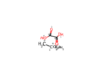 CC(=O)O.O=C(O)C(=O)O.[CaH2]